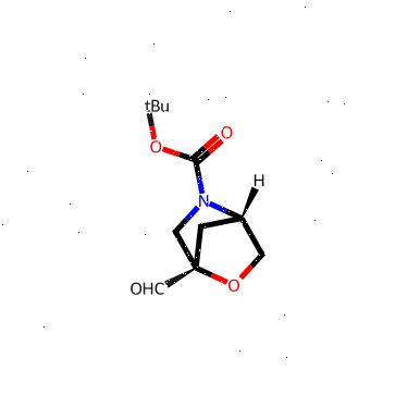 CC(C)(C)OC(=O)N1C[C@]2(C=O)C[C@H]1CO2